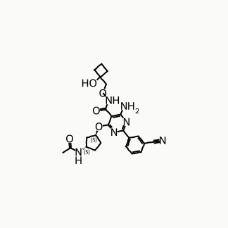 CC(=O)N[C@H]1CC[C@H](Oc2nc(-c3cccc(C#N)c3)nc(N)c2C(=O)NOCC2(O)CCC2)C1